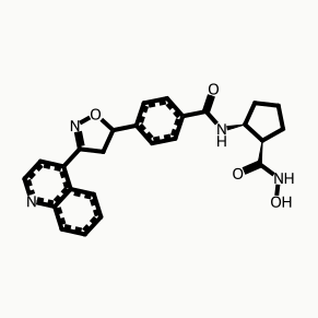 O=C(N[C@H]1CCC[C@H]1C(=O)NO)c1ccc(C2CC(c3ccnc4ccccc34)=NO2)cc1